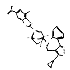 COC(=O)c1cc(F)c2nc(N3C[C@@H]4CC[C@H]3C[C@H]4OCc3c(-c4ccccc4OC(F)(F)F)noc3C3CC3)sc2c1